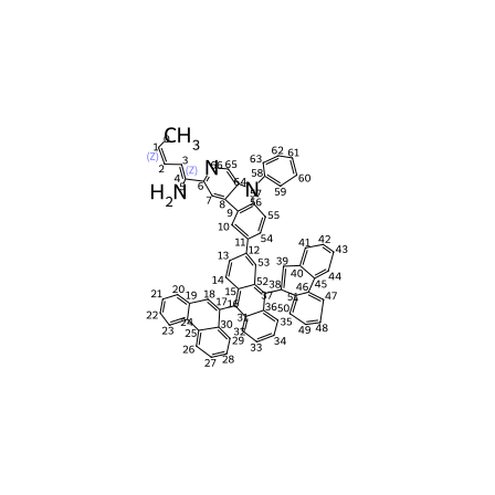 C/C=C\C=C(/N)c1cc2c3cc(-c4ccc5c(-c6cc7ccccc7c7ccccc67)c6ccccc6c(-c6cc7ccccc7c7ccccc67)c5c4)ccc3n(-c3ccccc3)c2cn1